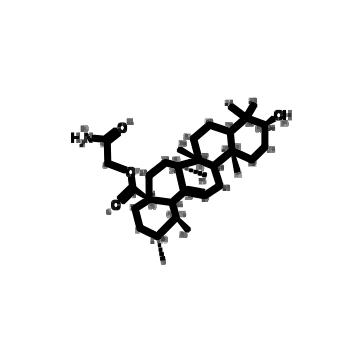 C[C@@H]1CC[C@]2(C(=O)OCC(N)=O)CC[C@]3(C)C(=CCC4[C@@]5(C)CC[C@H](O)C(C)(C)C5CC[C@]43C)C2[C@H]1C